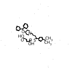 CC(C)c1ccc(C(=S)CCCN2CCC(OC(c3ccccc3)c3ccccc3)CC2)cc1.O=C(O)/C=C/C(=O)O